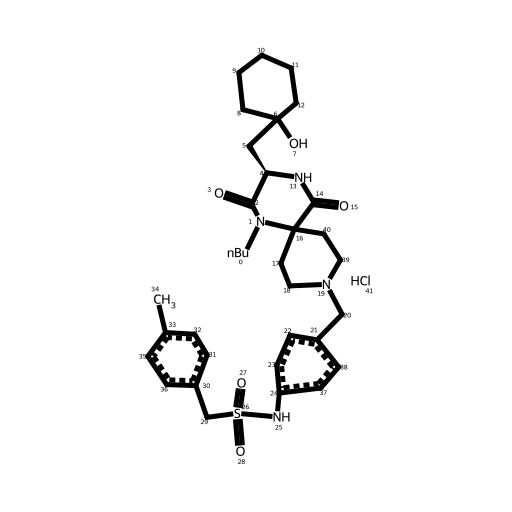 CCCCN1C(=O)[C@@H](CC2(O)CCCCC2)NC(=O)C12CCN(Cc1ccc(NS(=O)(=O)Cc3ccc(C)cc3)cc1)CC2.Cl